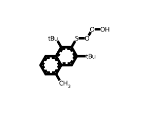 Cc1cccc2c(C(C)(C)C)c(SOOO)c(C(C)(C)C)cc12